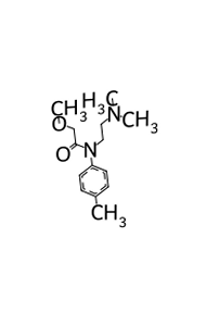 COCC(=O)N(CCN(C)C)c1ccc(C)cc1